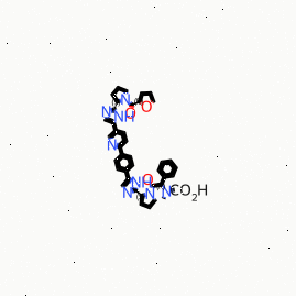 CN(C(=O)O)[C@@H](C(=O)N1CCC[C@H]1c1ncc(-c2ccc(-c3ccc(-c4cnc([C@@H]5CCCN5C(=O)[C@H]5CCCO5)[nH]4)cn3)cc2)[nH]1)c1ccccc1